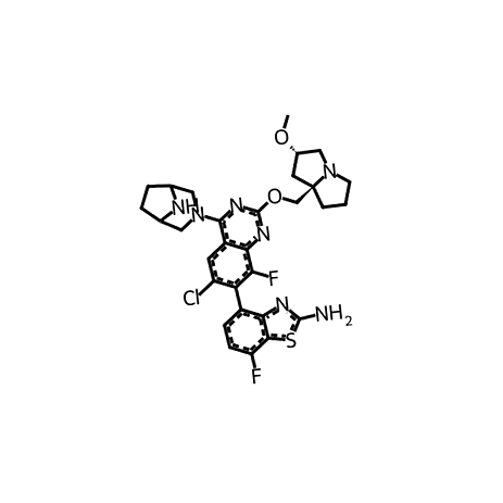 CO[C@@H]1CN2CCC[C@]2(COc2nc(N3CC4CCC(C3)N4)c3cc(Cl)c(-c4ccc(F)c5sc(N)nc45)c(F)c3n2)C1